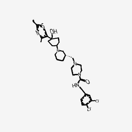 Cc1nc(C)c(C2(O)CCC(N3CCC[C@@H](CN4CCN(C(=O)Nc5ccc(Cl)c(Cl)c5)CC4)C3)CC2)s1